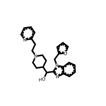 OC(c1nc2ccccc2n1Cc1ccco1)C1CCN(CCc2ccccn2)CC1